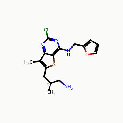 Cc1c(C[C@H](C)CN)sc2c(NCc3ccco3)nc(Cl)nc12